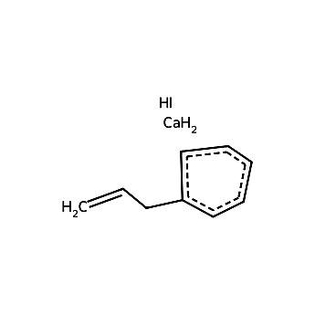 C=CCc1ccccc1.I.[CaH2]